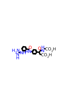 N=C(N)Nc1cccc(C(=O)Nc2ccc(C(CC(=O)O)C(=O)NCC(=O)O)cc2)c1